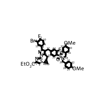 CCOC(=O)c1csc(-n2nc(-c3ccc(F)c(Br)c3)c(Cc3ccc(S(=O)(=O)N(Cc4ccc(OC)cc4)Cc4ccc(OC)cc4)c(F)c3)c2CC2CC2)n1